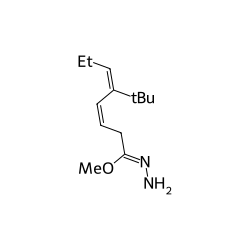 CC/C=C(\C=C/C/C(=N/N)OC)C(C)(C)C